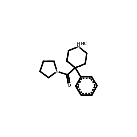 Cl.O=C(N1CCCC1)C1(c2ccccc2)CCNCC1